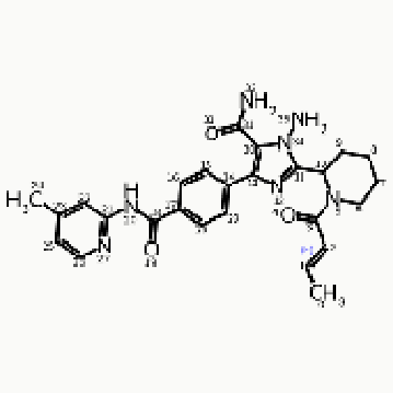 C/C=C/C(=O)N1CCCCC1c1nc(-c2ccc(C(=O)Nc3cc(C)ccn3)cc2)c(C(N)=O)n1N